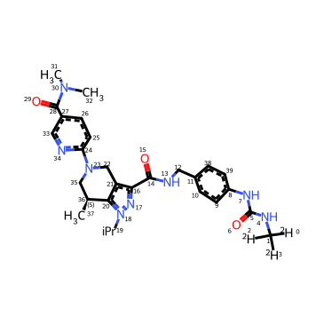 [2H]C([2H])([2H])NC(=O)Nc1ccc(CNC(=O)c2nn(C(C)C)c3c2CN(c2ccc(C(=O)N(C)C)cn2)C[C@@H]3C)cc1